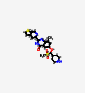 Cc1cc(OC(C2CCNCC2)S(C)(=O)=O)cc2c(=O)[nH]c(-c3cc4ccsc4cn3)nc12